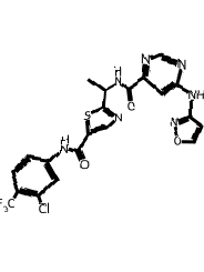 CC(NC(=O)c1cc(Nc2ccon2)ncn1)c1ncc(C(=O)Nc2ccc(C(F)(F)F)c(Cl)c2)s1